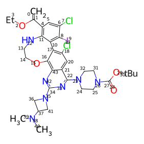 C=C(OCC)c1cc(Cl)c(I)c2c1NCCOc1c-2c(Cl)cc2c(N3CCN(C(=O)OC(C)(C)C)CC3)nc(N3CC(N(C)C)C3)nc12